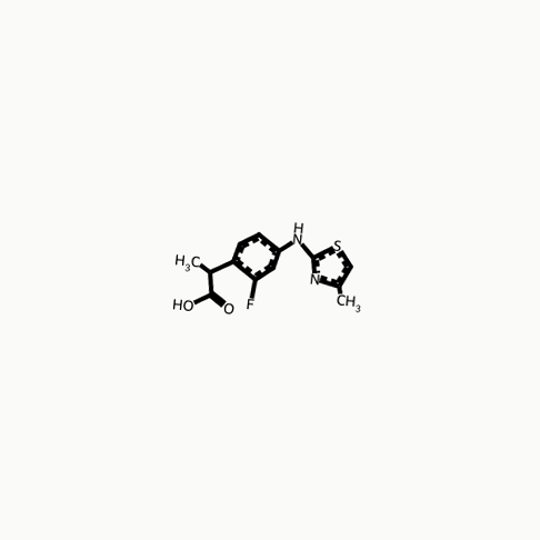 Cc1csc(Nc2ccc(C(C)C(=O)O)c(F)c2)n1